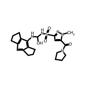 Cn1nc(S(=O)(=O)NC(O)Nc2c3c(cc4c2CCC4)CCC3)cc1C(=O)N1CCCC1